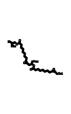 CCCCCCCCC1OC1CCCCCCCC(=O)OC(CCCCCC)CC1OC1CCCCCCCC(=O)OCC(CC)CCCC